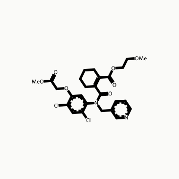 COCCOC(=O)C1=C(C(=O)N(Cc2cccnc2)c2cc(OCC(=O)OC)c(Cl)cc2Cl)CCCC1